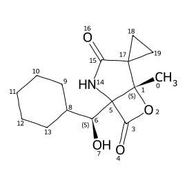 C[C@@]12OC(=O)C1([C@@H](O)C1CCCCC1)NC(=O)C21CC1